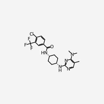 Cc1cnc(N[C@H]2CC[C@@H](NC(=O)c3ccc(Cl)c(C(F)(F)F)c3)CC2)nc1N(C)C